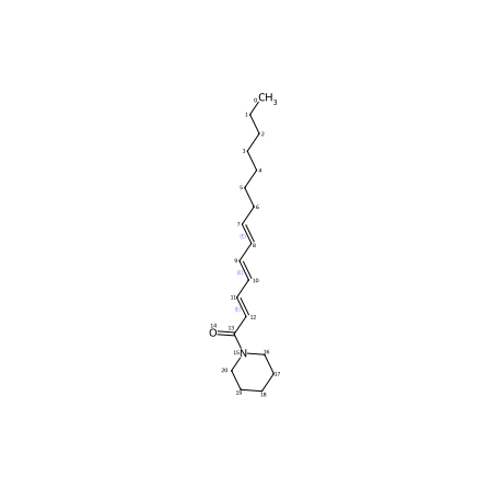 CCCCCCC/C=C/C=C/C=C/C(=O)N1CCCCC1